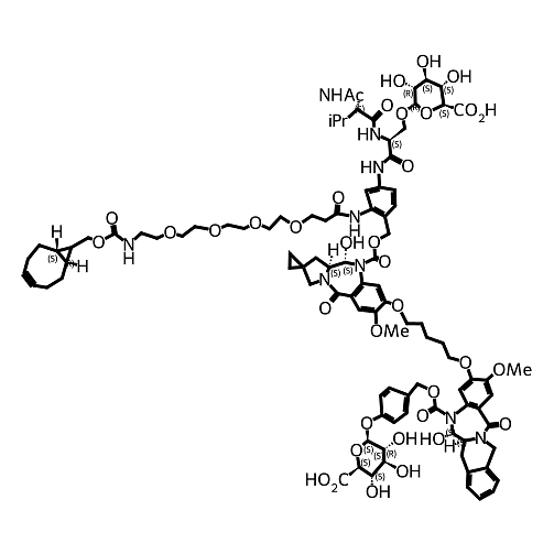 COc1cc2c(cc1OCCCCCOc1cc3c(cc1OC)C(=O)N1CC4(CC4)C[C@H]1[C@H](O)N3C(=O)OCc1ccc(NC(=O)[C@H](CO[C@@H]3O[C@H](C(=O)O)[C@@H](O)[C@H](O)[C@H]3O)NC(=O)[C@@H](NC(C)=O)C(C)C)cc1NC(=O)CCOCCOCCOCCOCCNC(=O)OCC1[C@H]3CCC#CCC[C@@H]13)N(C(=O)OCc1ccc(O[C@@H]3O[C@H](C(=O)O)[C@@H](O)[C@H](O)[C@H]3O)cc1)[C@@H](O)[C@@H]1Cc3ccccc3CN1C2=O